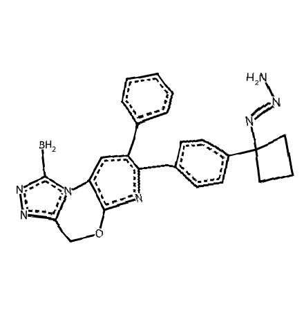 Bc1nnc2n1-c1cc(-c3ccccc3)c(-c3ccc(C4(N=NN)CCC4)cc3)nc1OC2